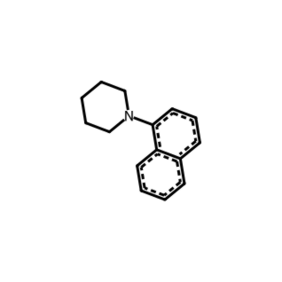 c1ccc2c(N3CCCCC3)cccc2c1